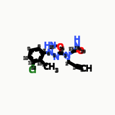 C#CCN(C1=NN(c2cccc(Cl)c2C)NO1)C1NO1